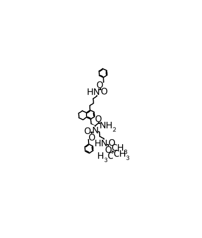 CC(C)(C)OC(=O)NCCCN(C(=O)OCc1ccccc1)[C@@H](Cc1ccc(CCCCNC(=O)OCc2ccccc2)c2c1CCCC2)C(N)=O